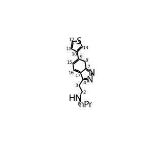 CCCNCCC1=NN=C2CC(c3ccsc3)=CC=C12